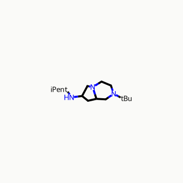 CCCC(C)NC1CC2CN(C(C)(C)C)CCN2C1